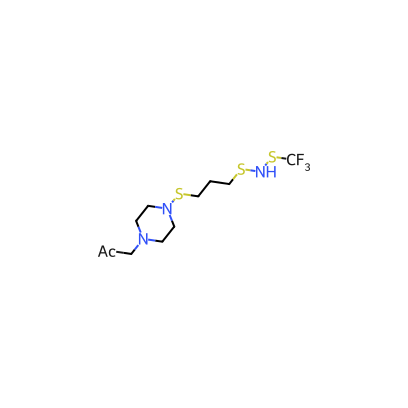 CC(=O)CN1CCN(SCCCSNSC(F)(F)F)CC1